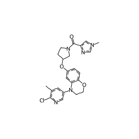 Cc1cc(N2CCOc3ccc(OC4CCN(C(=O)c5cn(C)cn5)C4)cc32)cnc1Cl